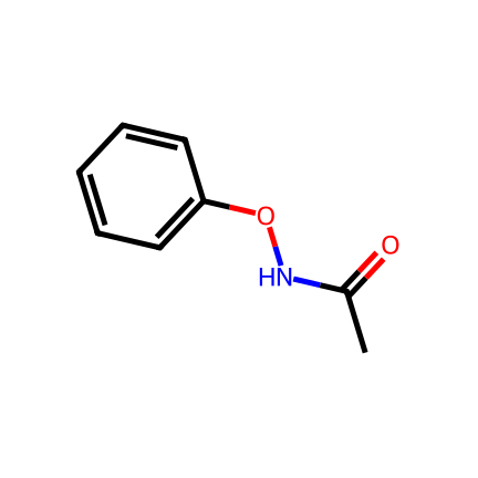 CC(=O)NOc1ccccc1